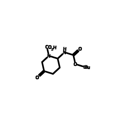 CC(C)(C)OC(=O)NC1CCC(=O)CN1C(=O)O